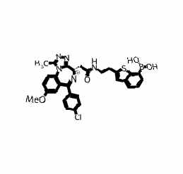 COc1ccc2c(c1)C(c1ccc(Cl)cc1)=N[C@@H](CC(=O)NCCc1cc3cccc(B(O)O)c3s1)c1nnc(C)n1-2